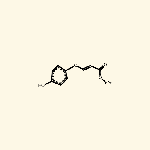 CCCOC(=O)C=COc1ccc(O)cc1